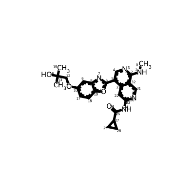 CNc1ncc(-c2nc3cc(OCC(C)(C)O)ccc3o2)c2cc(NC(=O)C3CC3)ncc12